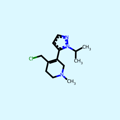 CC(C)n1nccc1C1=C(CCl)CCN(C)C1